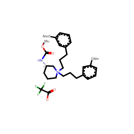 COc1cccc(CCC[N+]2(CCCc3cccc(OC)c3)CCC[C@H](NC(=O)OC(C)(C)C)C2)c1.O=C([O-])C(F)(F)F